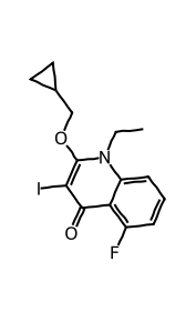 CCn1c(OCC2CC2)c(I)c(=O)c2c(F)cccc21